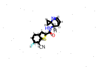 N#Cc1c(F)ccc2cc(C(=O)N[C@@H]3C4CCN(CC4)C34CC4)sc12